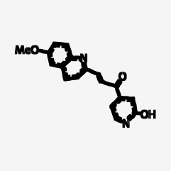 COc1ccc2nc(/C=C/C(=O)c3ccnc(O)c3)ccc2c1